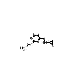 CCOc1nccc(CNC2CC2)n1